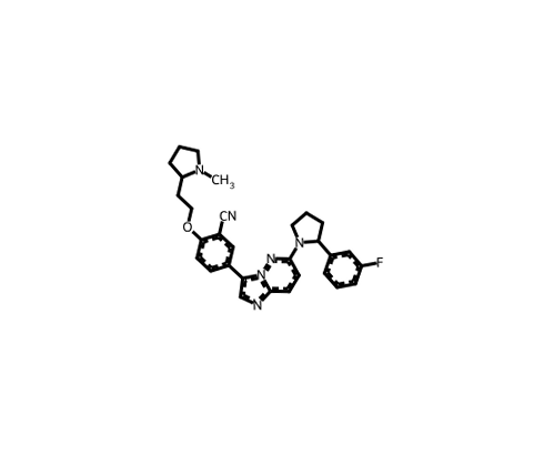 CN1CCCC1CCOc1ccc(-c2cnc3ccc(N4CCCC4c4cccc(F)c4)nn23)cc1C#N